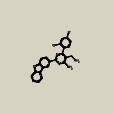 NCc1c(N)nc(-c2ccc3oc4ccccc4c3c2)nc1-c1ccc(Cl)cc1Cl